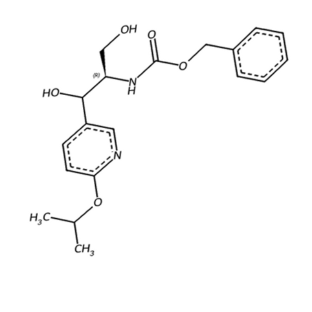 CC(C)Oc1ccc(C(O)[C@@H](CO)NC(=O)OCc2ccccc2)cn1